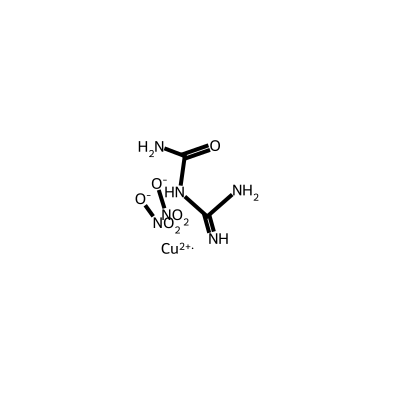 N=C(N)NC(N)=O.O=[N+]([O-])[O-].O=[N+]([O-])[O-].[Cu+2]